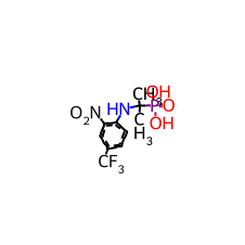 CC(C)(Nc1ccc(C(F)(F)F)cc1[N+](=O)[O-])P(=O)(O)O